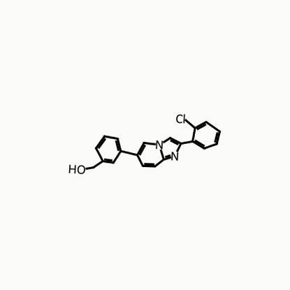 OCc1cccc(-c2ccc3nc(-c4ccccc4Cl)cn3c2)c1